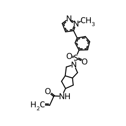 C=CC(=O)NC1CC2CN(S(=O)(=O)c3cccc(-c4ccnn4C)c3)CC2C1